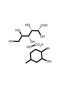 CC1CCC(C(C)C)C(O)C1.O=C(O)O.O=C[C@H](O)[C@@H](O)[C@H](O)[C@H](O)CO